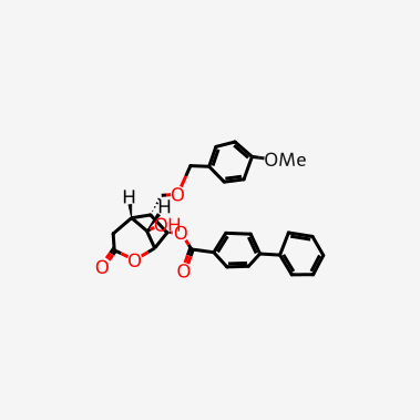 COc1ccc(COC[C@H]2[C@H]3CC(=O)OC([C@H]3O)[C@H]2OC(=O)c2ccc(-c3ccccc3)cc2)cc1